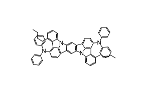 CCCCc1cccc2c1c1c(N(c3ccccc3)c3ccccc3)ccc3c4cc5c(cc4n2c31)c1ccc(N(c2ccccc2)c2ccccc2)c2c3c(CCCC)cccc3n5c12